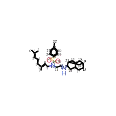 CC(C)=CCC/C(C)=C/CN(CCNC1CC2CCC3CC2CC1C3)S(=O)(=O)c1ccc(C)cc1